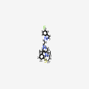 Fc1ccc2c(ccn2CCCN2CC[C@@H]3[C@H](C2)c2cccc4c2N3CCCS4)c1